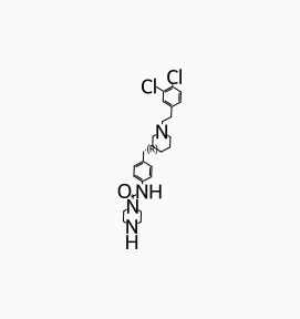 O=C(Nc1ccc(C[C@H]2CCCN(CCc3ccc(Cl)c(Cl)c3)C2)cc1)N1CCNCC1